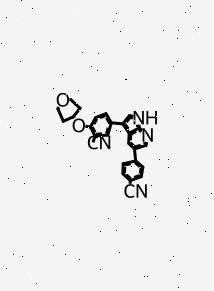 N#Cc1ccc(-c2cnc3[nH]cc(-c4ccc(OC5CCOCC5)c(C#N)c4)c3c2)cc1